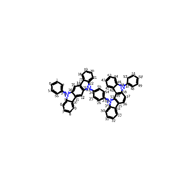 c1ccc(-n2c3ccccc3c3cc4c(cc32)c2ccccc2n4-c2ccc(-n3c4ccccc4c4ccc5c(c6ccccc6n5-c5ccccc5)c43)cc2)cc1